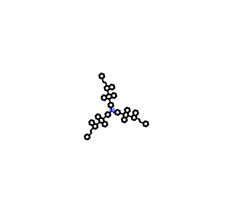 C(=C\c1ccc(-c2c3ccccc3c(-c3ccc(N(c4ccc(-c5c6ccccc6c(-c6ccc(/C=C/c7ccccc7)c7ccccc67)c6ccccc56)cc4)c4ccc(-c5c6ccccc6c(-c6ccc(/C=C/c7ccccc7)c7ccccc67)c6ccccc56)cc4)cc3)c3ccccc23)c2ccccc12)/c1ccccc1